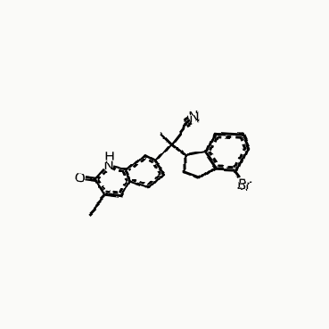 Cc1cc2ccc(C(C)(C#N)C3CCc4c(Br)cccc43)cc2[nH]c1=O